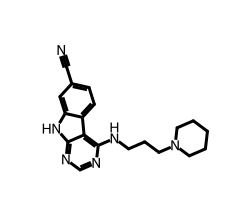 N#Cc1ccc2c(c1)[nH]c1ncnc(NCCCN3CCCCC3)c12